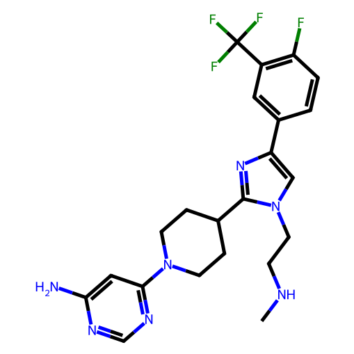 CNCCn1cc(-c2ccc(F)c(C(F)(F)F)c2)nc1C1CCN(c2cc(N)ncn2)CC1